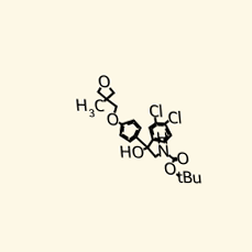 CC1(COc2ccc(C(O)(CNC(=O)OC(C)(C)C)c3ccc(Cl)c(Cl)c3)cc2)COC1